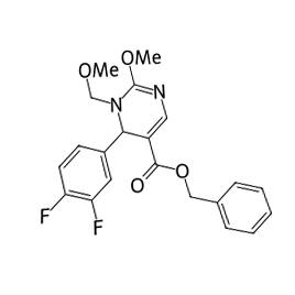 COCN1C(OC)=NC=C(C(=O)OCc2ccccc2)C1c1ccc(F)c(F)c1